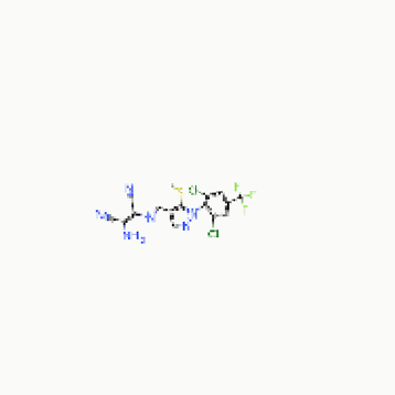 CSc1c(C=NC(C#N)=C(N)C#N)cnn1-c1c(Cl)cc(C(F)(F)F)cc1Cl